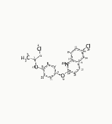 CC(CCl)Oc1ccc(Oc2ccc3cc(Cl)ccc3n2)cc1